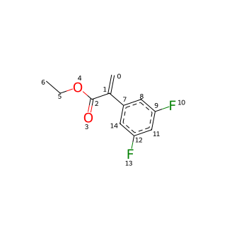 C=C(C(=O)OCC)c1cc(F)cc(F)c1